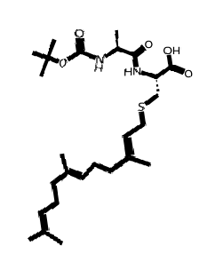 CC(C)=CCCC(C)=CCCC(C)=CCSC[C@H](NC(=O)[C@H](C)NC(=O)OC(C)(C)C)C(=O)O